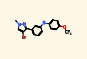 Cn1cc(Br)c(-c2cccc([N]c3ccc(OC(F)(F)F)cc3)c2)n1